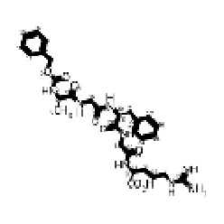 C[C@H](NC(=O)OCc1ccccc1)C(=O)NCC(=O)N[C@@H](Cc1ccccc1)C(=O)NCC(=O)N[C@@H](CCCNC(=N)N)C(=O)O